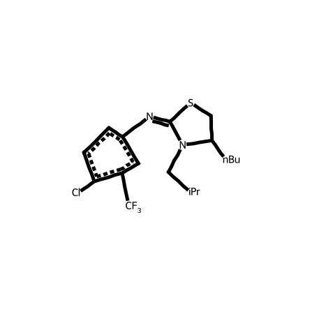 CCCCC1CSC(=Nc2ccc(Cl)c(C(F)(F)F)c2)N1CC(C)C